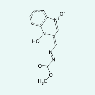 COC(=O)N=NC=C1C=[N+]([O-])c2ccccc2N1O